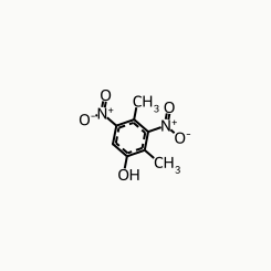 Cc1c(O)cc([N+](=O)[O-])c(C)c1[N+](=O)[O-]